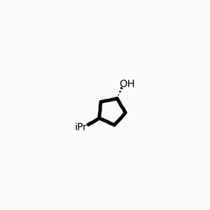 CC(C)C1CC[C@@H](O)C1